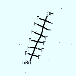 CCCCC(F)(F)C(F)(F)C(F)(F)C(F)(F)C(F)(F)C(O)(F)F